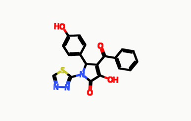 O=C(C1=C(O)C(=O)N(c2nncs2)C1c1ccc(O)cc1)c1ccccc1